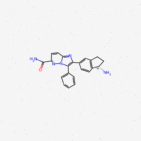 NC(=O)c1ccc2nc(-c3ccc4c(c3)CC[C@@H]4N)c(-c3ccccc3)n2n1